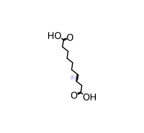 O=C(O)C/C=C/CCCCCC(=O)O